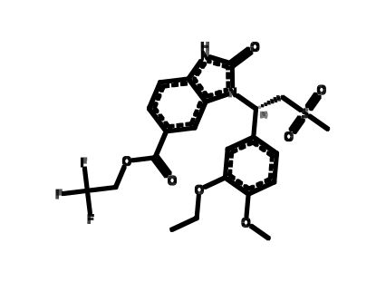 CCOc1cc([C@@H](CS(C)(=O)=O)n2c(=O)[nH]c3ccc(C(=O)OCC(F)(F)F)cc32)ccc1OC